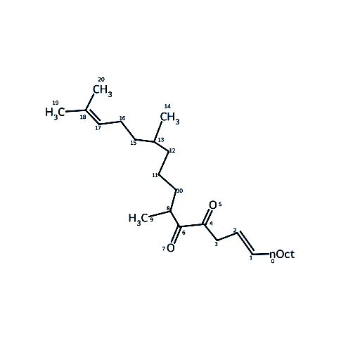 CCCCCCCCC=CCC(=O)C(=O)C(C)CCCC(C)CCC=C(C)C